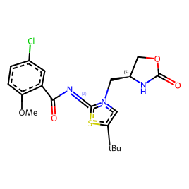 COc1ccc(Cl)cc1C(=O)/N=c1\sc(C(C)(C)C)cn1C[C@H]1COC(=O)N1